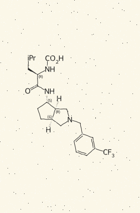 CC(C)C[C@@H](NC(=O)O)C(=O)N[C@H]1CC[C@@H]2CN(Cc3cccc(C(F)(F)F)c3)C[C@@H]21